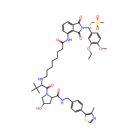 CCOc1cc([C@@H](CS(C)(=O)=O)N2C(=O)c3cccc(NC(=O)CCCCCCCNC(C(=O)N4CC(O)CC4C(=O)NCc4ccc(-c5scnc5C)cc4)C(C)(C)C)c3C2=O)ccc1OC